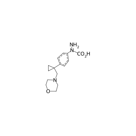 NN(C(=O)O)c1ccc(C2(CN3CCOCC3)CC2)cc1